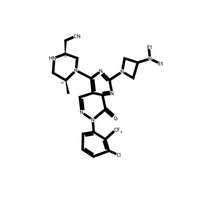 CCN(CC)C1CN(c2nc(N3C[C@H](CC#N)NC[C@@H]3C)c3cnn(-c4cccc(Cl)c4C(F)(F)F)c(=O)c3n2)C1